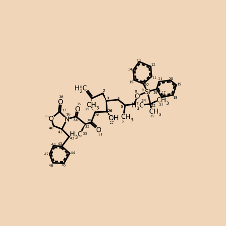 C=CC[C@@H](CC(C)CO[Si](c1ccccc1)(c1ccccc1)C(C)(C)C)[C@H](O)[C@@H](C)C(=O)[C@@H](C)C(=O)N1C(=O)OCC1Cc1ccccc1